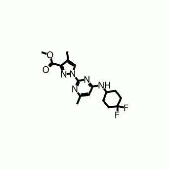 COC(=O)c1nn(-c2nc(C)cc(NC3CCC(F)(F)CC3)n2)cc1C